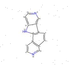 c1cc2c(ccc3c4cnccc4[nH]c23)cn1